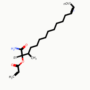 C=CC(=O)OC(CC)(C(N)=O)C(C)CCCCCCCCC/C=C\CCCCCCCC